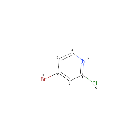 Clc1cc(Br)[c]cn1